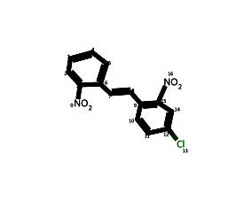 O=[N+]([O-])c1ccccc1C=Cc1ccc(Cl)cc1[N+](=O)[O-]